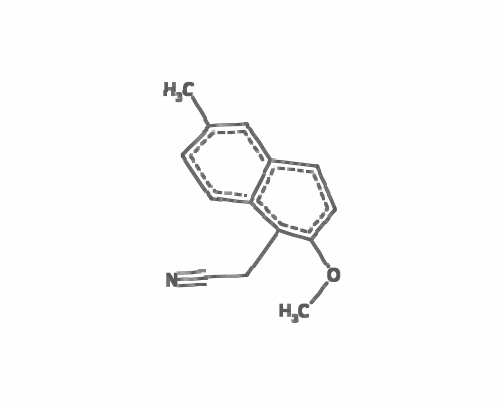 COc1ccc2cc(C)ccc2c1CC#N